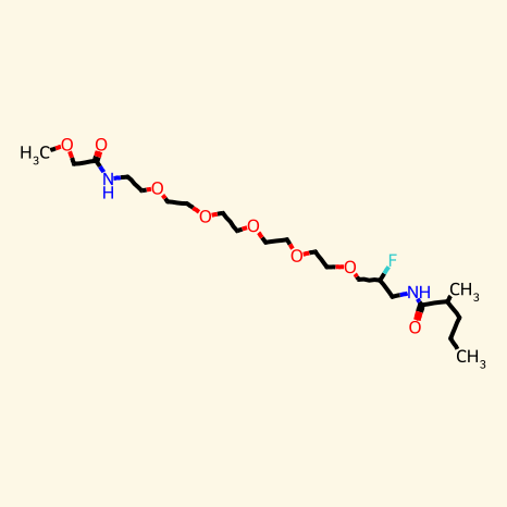 CCCC(C)C(=O)NCC(F)COCCOCCOCCOCCOCCNC(=O)COC